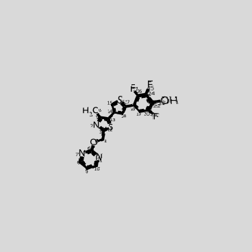 Cc1nc(COc2ncccn2)sc1-c1csc(-c2cc(F)c(O)c(F)c2F)c1